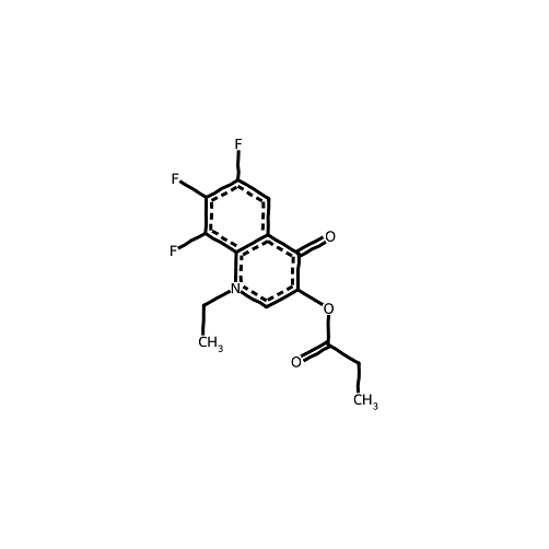 CCC(=O)Oc1cn(CC)c2c(F)c(F)c(F)cc2c1=O